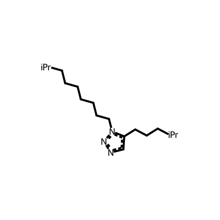 CC(C)CCCCCCCn1nncc1CCCC(C)C